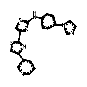 c1cncc(-c2csc(-c3csc(Nc4ccc(-n5ccnc5)cc4)n3)n2)c1